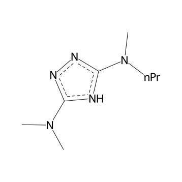 CCCN(C)c1nnc(N(C)C)[nH]1